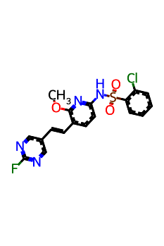 COc1nc(NS(=O)(=O)c2ccccc2Cl)ccc1C=Cc1cnc(F)nc1